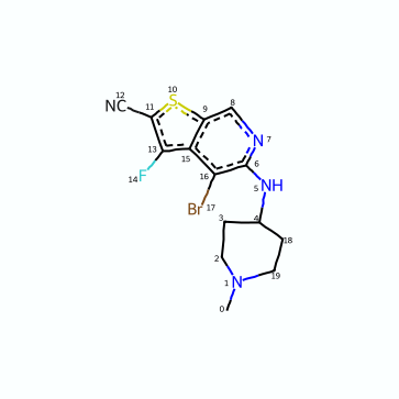 CN1CCC(Nc2ncc3sc(C#N)c(F)c3c2Br)CC1